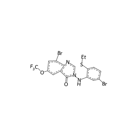 CCSc1ccc(Br)cc1Nn1cnc2c(Br)cc(OC(F)(F)F)cc2c1=O